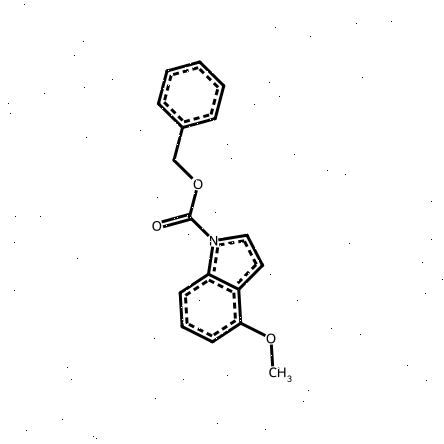 COc1cccc2c1ccn2C(=O)OCc1ccccc1